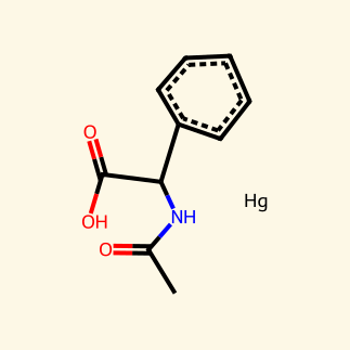 CC(=O)NC(C(=O)O)c1ccccc1.[Hg]